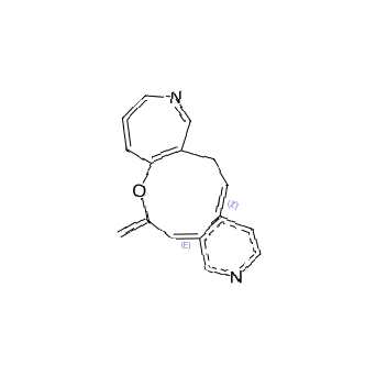 C=C1/C=c2/cncc/c2=C/CC2=C(C=C=CN=C2)O1